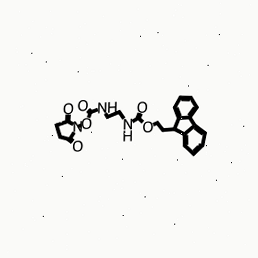 O=C(NCCNC(=O)ON1C(=O)CCC1=O)OCCC1c2ccccc2-c2ccccc21